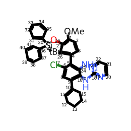 COc1ccc(-c2c(Cl)cc(C3=CCCCC3)c(Nc3ncccn3)c2N)cc1O[Si](c1ccccc1)(c1ccccc1)C(C)(C)C